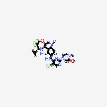 CN1CCN(c2ncc(Cl)c(Nc3ccc4c(c3)C3=C(CN4C)OCC(F)(F)[C@H](C4CC4)N3)n2)CC1=O